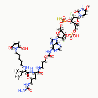 CC(C)C(NCCCCCN1C(=O)C=CC1O)C(=O)NC(CCCNC(N)=O)C(=O)NCCCOC(=O)Nc1ncnc2c1ncn2[C@@H]1O[C@@H]2COP(=O)(S)O[C@H]3[C@@H](F)[C@H](n4ccc(=O)[nH]c4=O)O[C@@H]3COP(=O)(O)O[C@H]2[C@H]1F